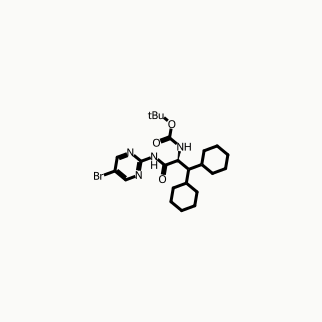 CC(C)(C)OC(=O)N[C@H](C(=O)Nc1ncc(Br)cn1)C(C1CCCCC1)C1CCCCC1